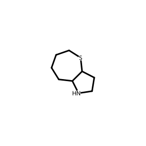 C1CCC2NCCC2SC1